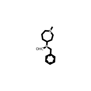 CN1CCCC(N(C=O)Cc2ccccc2)CC1